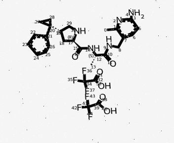 Cc1nc(N)ccc1CNC(=O)[C@H](C)NC(=O)[C@H]1C[C@H](C2(c3ccccc3)CC2)CN1.O=C(O)C(F)(F)F.O=C(O)C(F)(F)F